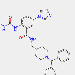 CCCCNC(=O)Nc1ccc(-n2ccnc2)cc1C(=O)NCC1CCN(C(c2ccccc2)c2ccccc2)CC1